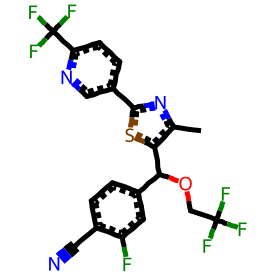 Cc1nc(-c2ccc(C(F)(F)F)nc2)sc1C(OCC(F)(F)F)c1ccc(C#N)c(F)c1